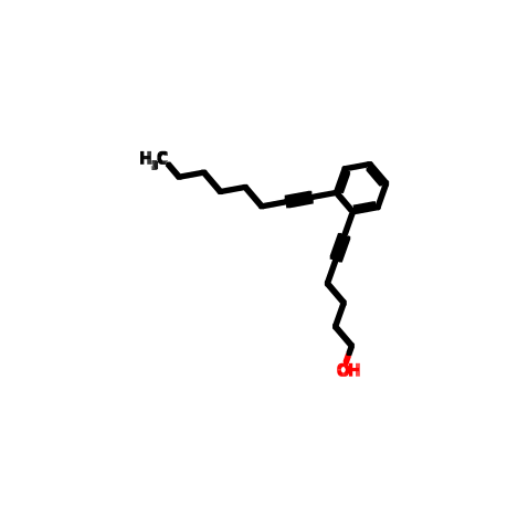 CCCCCCC#Cc1ccccc1C#CCCCCO